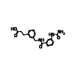 NC(=O)Nc1cccc(C(=O)NCc2cccc(CCC(=O)O)c2)c1